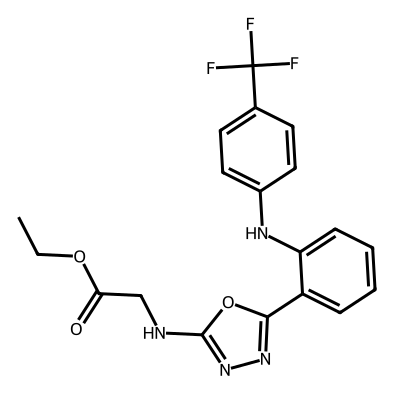 CCOC(=O)CNc1nnc(-c2ccccc2Nc2ccc(C(F)(F)F)cc2)o1